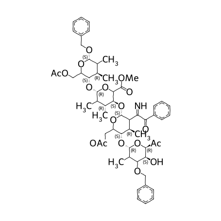 COC(=O)C1O[C@@H](O[C@@H]2C(COC(C)=O)O[C@H](OCc3ccccc3)C(C)[C@H]2C)C(C)[C@@H](C)[C@@H]1O[C@H]1OC(COC(C)=O)[C@@H](O[C@@H]2O[C@@H](C(C)=O)[C@@H](O)C(OCc3ccccc3)C2C)[C@H](C)C1C(=N)C(=O)c1ccccc1